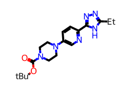 CCc1nnc(-c2ccc(N3CCN(C(=O)OC(C)(C)C)CC3)cn2)[nH]1